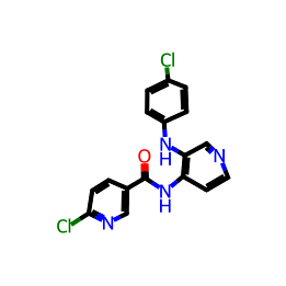 O=C(Nc1ccncc1Nc1ccc(Cl)cc1)c1ccc(Cl)nc1